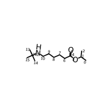 CC(C)OC(=O)CCCCCNC(C)(C)C